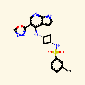 N#Cc1cccc(S(=O)(=O)N[C@H]2C[C@@H](Nc3c(-c4nnco4)cnc4[nH]ccc34)C2)c1